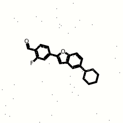 O=Cc1ccc(-c2cc3cc(C4CCCCC4)ccc3o2)cc1F